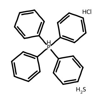 Cl.S.c1ccc([PH](c2ccccc2)(c2ccccc2)c2ccccc2)cc1